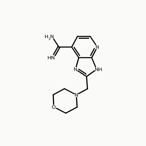 N=C(N)c1ccnc2[nH]c(CN3CCOCC3)nc12